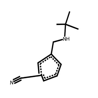 CC(C)(C)NCc1cccc(C#N)c1